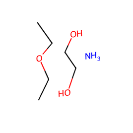 CCOCC.N.OCCO